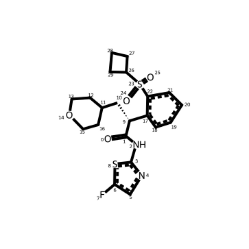 O=C(Nc1ncc(F)s1)[C@H](CC1CCOCC1)c1ccccc1S(=O)(=O)C1CCC1